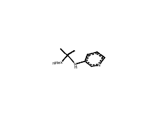 CCCCCCC(C)(C)Nc1cccnc1